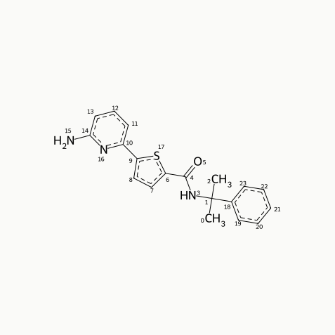 CC(C)(NC(=O)c1ccc(-c2cccc(N)n2)s1)c1ccccc1